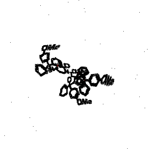 COc1ccc(C(Nc2ccn([C@@H]3O[C@H](C(C)=O)[C@@H](OC(c4ccccc4)(c4ccccc4)c4ccc(OC)cc4)[C@@H]3OC(c3ccccc3)(c3ccccc3)c3ccc(OC)cc3)c(=O)n2)(c2ccccc2)c2ccccc2)cc1